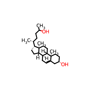 CC(O)CC[C@@H](C)[C@H]1CC[C@H]2[C@@H]3CC=C4C[C@@H](O)CC[C@]4(C)[C@H]3CC[C@]12C